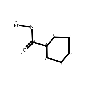 CC[N]C(=O)C1CCCCC1